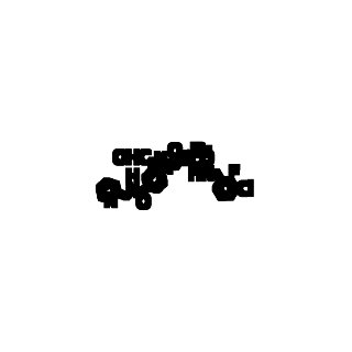 CC(C)N(CC(=O)NCc1cccc(Cl)c1F)C(=O)Cn1nc(C=O)c2cc(C(=O)NCc3ccccn3)ccc21